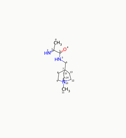 CC(=N)C(=O)NCC12CC[N+](C)(CC1)CC2